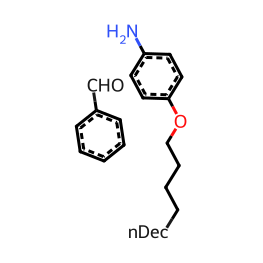 CCCCCCCCCCCCCCOc1ccc(N)cc1.O=Cc1ccccc1